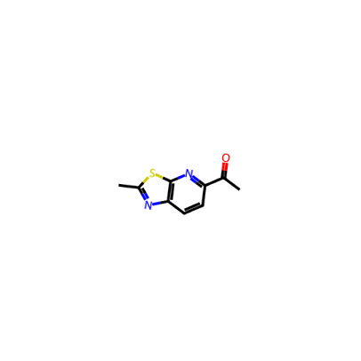 CC(=O)c1ccc2nc(C)sc2n1